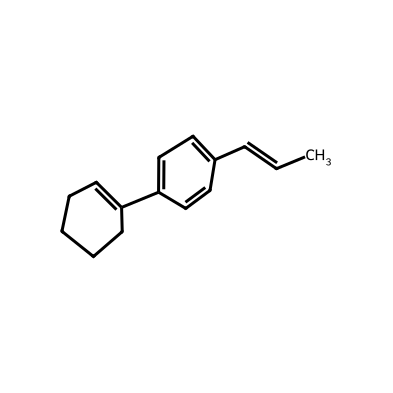 CC=Cc1ccc(C2=CCCCC2)cc1